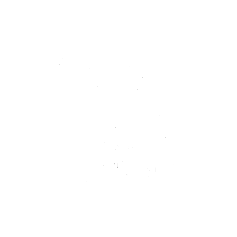 CCCCCCCC/C=C\CCCCCCCC(=O)C(CN)S(=O)(=O)O.CCCCCCCC/C=C\CCCCCCCC(=O)N(C)CCS(=O)(=O)O